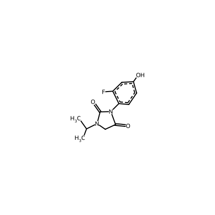 CC(C)N1CC(=O)N(c2ccc(O)cc2F)C1=O